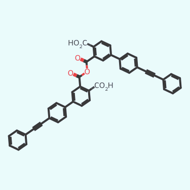 O=C(O)c1ccc(-c2ccc(C#Cc3ccccc3)cc2)cc1C(=O)OC(=O)c1cc(-c2ccc(C#Cc3ccccc3)cc2)ccc1C(=O)O